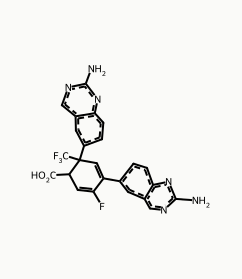 Nc1ncc2cc(C3=CC(c4ccc5nc(N)ncc5c4)(C(F)(F)F)C(C(=O)O)C=C3F)ccc2n1